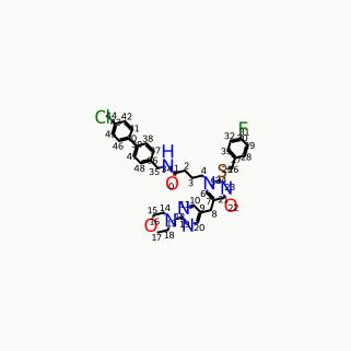 O=C(CCCn1cc(Cc2cnc(N3CCOCC3)nc2)c(=O)nc1SCc1ccc(F)cc1)NCc1ccc(-c2ccc(Cl)cc2)cc1